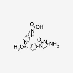 C[C@H](Cc1ccc(-n2ccc(N)nc2=O)cc1)N1CC2C(CNC(=O)O)C2C1